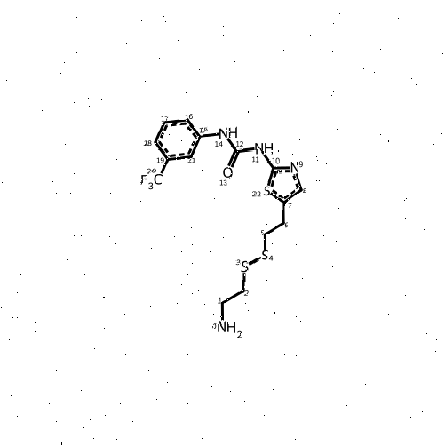 NCCSSCCc1cnc(NC(=O)Nc2cccc(C(F)(F)F)c2)s1